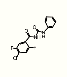 O=C(NC(=O)c1cc(F)c(Cl)cc1F)Nc1ccccc1